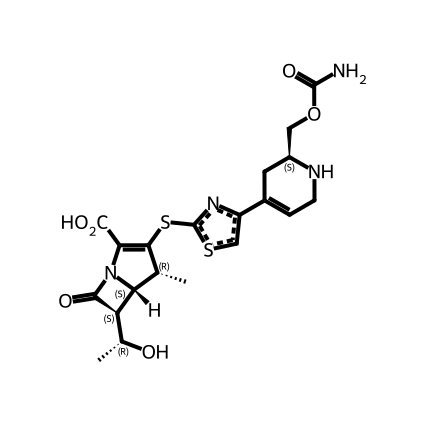 C[C@@H](O)[C@H]1C(=O)N2C(C(=O)O)=C(Sc3nc(C4=CCN[C@H](COC(N)=O)C4)cs3)[C@H](C)[C@H]12